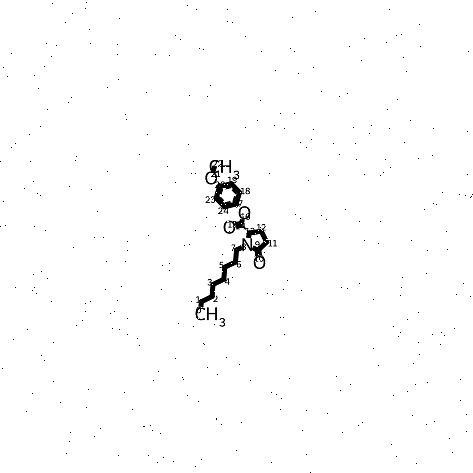 CCCCCCCCN1C(=O)CC[C@H]1C(=O)Oc1ccc(OC)cc1